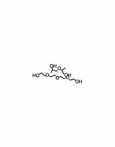 CC(O)COC(C)CO.OCCOCCOCCOCCO